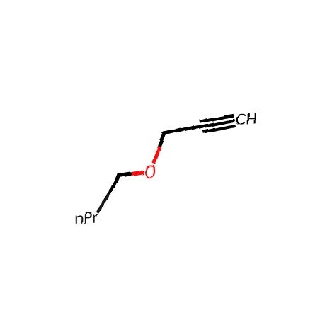 C#CCOCCCC